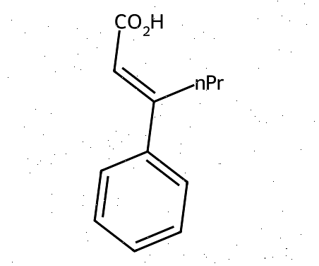 CCCC(=CC(=O)O)c1ccccc1